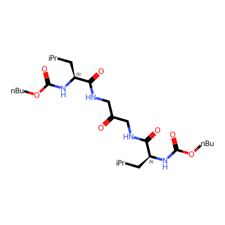 CCCCOC(=O)N[C@@H](CC(C)C)C(=O)NCC(=O)CNC(=O)[C@H](CC(C)C)NC(=O)OCCCC